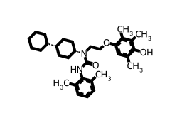 Cc1cc(OCCN(C(=O)Nc2c(C)cccc2C)[C@H]2CC[C@@H](C3CCCCC3)CC2)c(C)c(C)c1O